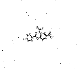 O=C(Oc1ccc([N+](=O)[O-])cc1OC(F)F)N1CCNCC1